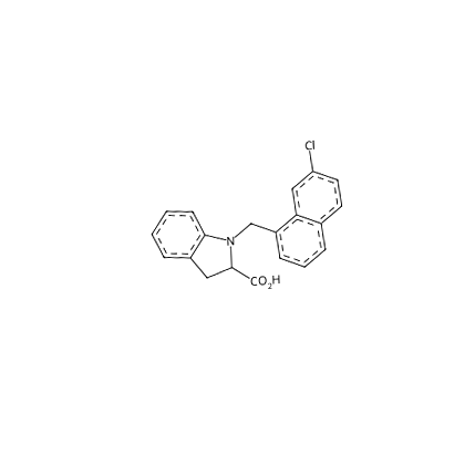 O=C(O)C1Cc2ccccc2N1Cc1cccc2ccc(Cl)cc12